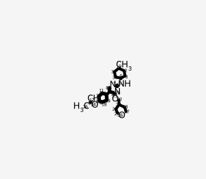 CC1CCC(Nc2ncc(-c3ccc(OC(C)C)cc3)c(OCC3CCOCC3)n2)CC1